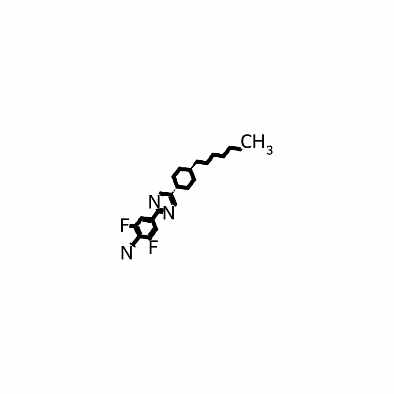 CCCCCCC[C@H]1CC[C@H](c2cnc(-c3cc(F)c(C#N)c(F)c3)nc2)CC1